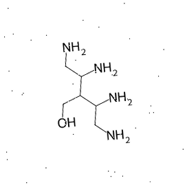 NCC(N)C(CO)C(N)CN